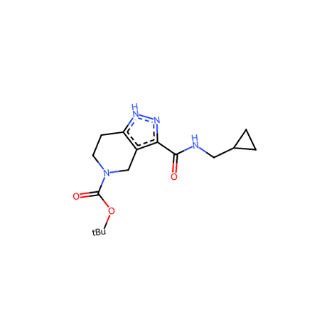 CC(C)(C)OC(=O)N1CCc2[nH]nc(C(=O)NCC3CC3)c2C1